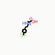 O=C(O)c1c[nH]c(CCc2ccc(C(F)(F)F)cc2)n1